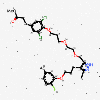 COC(=O)CCc1cc(Cl)c(OCCCOCCOCc2[nH]nc(C)c2CCCOc2cc(C(C)=O)ccc2F)c(Cl)c1